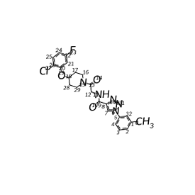 Cc1cccc(-n2cc(C(=O)NCC(=O)N3CCC(Oc4cc(F)ccc4Cl)CC3)nn2)c1